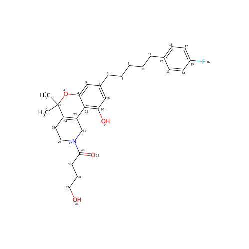 CC1(C)Oc2cc(CCCCCc3ccc(F)cc3)cc(O)c2C2=C1CCN(C(=O)CCCO)C2